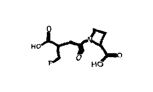 O=C(O)C(CF)CC(=O)N1CCC1C(=O)O